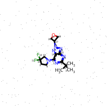 CC(C)(C)c1nc(N2CCC(F)(F)C2)c2nn(C3COC3)nc2n1